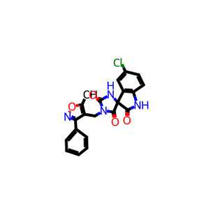 Cc1onc(-c2ccccc2)c1CN1C(=O)NC2(C(=O)Nc3ccc(Cl)cc32)C1=O